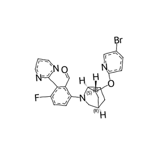 O=Cc1c(N2C[C@@H]3CC[C@H]2[C@H](Oc2ccc(Br)cn2)C3)ccc(F)c1-c1ncccn1